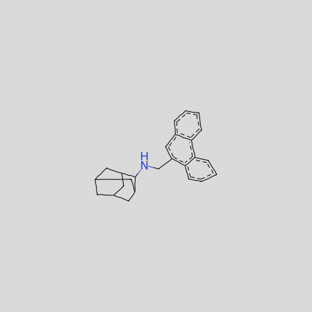 c1ccc2c(c1)cc(CNC1C3CC4CC(C3)CC1C4)c1ccccc12